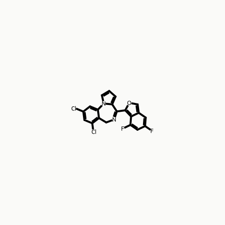 Fc1cc(F)c2c(C3=NCc4c(Cl)cc(Cl)cc4-n4cccc43)occ2c1